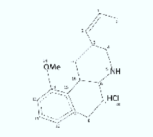 C/C=C\C1CNC2CCc3cccc(OC)c3C2C1.Cl